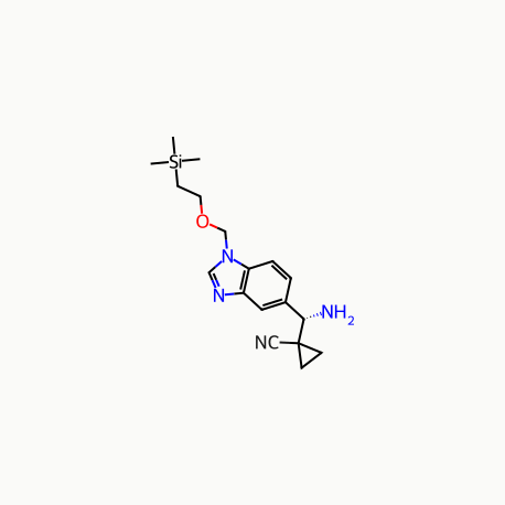 C[Si](C)(C)CCOCn1cnc2cc([C@H](N)C3(C#N)CC3)ccc21